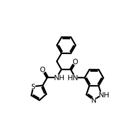 O=C(NC(Cc1ccccc1)C(=O)Nc1cccc2[nH]ncc12)c1cccs1